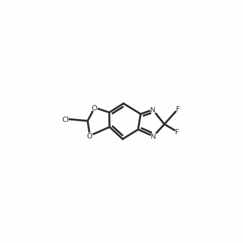 FC1(F)N=c2cc3c(cc2=N1)OC(Cl)O3